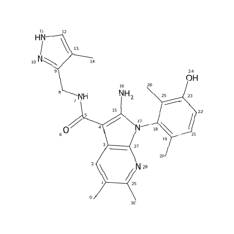 Cc1cc2c(C(=O)NCc3n[nH]cc3C)c(N)n(-c3c(C)ccc(O)c3C)c2nc1C